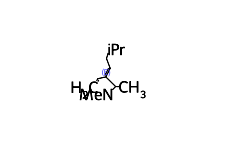 C=C/C(=C\CC(C)C)C(C)NC